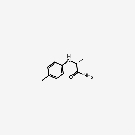 Cc1ccc(N[C@H](C)C(N)=O)cc1